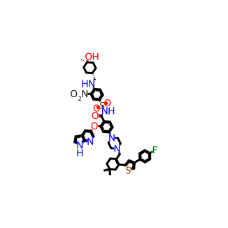 CC1(C)CCC(CN2CCN(c3ccc(C(=O)NS(=O)(=O)c4ccc(NC[C@H]5CC[C@](C)(O)CC5)c([N+](=O)[O-])c4)c(Oc4cnc5[nH]ccc5c4)c3)CC2)=C(c2cc(-c3ccc(F)cc3)cs2)C1